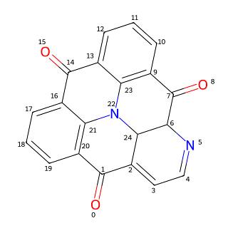 O=C1C2=CC=NC3C(=O)c4cccc5c(=O)c6cccc1c6n(c45)C23